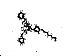 CCCCCCCCc1ccc(CCC(CO)(COCc2ccccc2)NC(=O)OCc2ccccc2)cc1